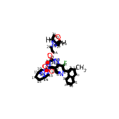 Cc1cc(-c2ncc3c(N4CC5CCC(C4)N5C(=O)OC(C)(C)C)nc(OCCN4C[C@@H]5C[C@H]4CO5)nc3c2F)c2ccccc2c1